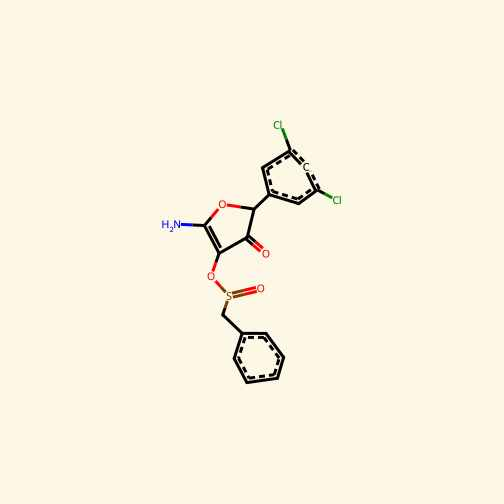 NC1=C(OS(=O)Cc2ccccc2)C(=O)C(c2cc(Cl)cc(Cl)c2)O1